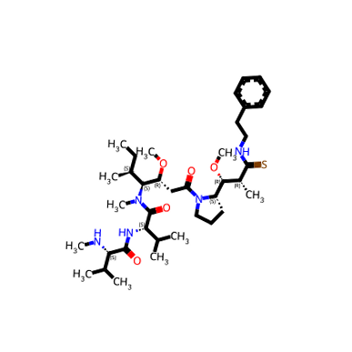 CC[C@H](C)[C@@H]([C@@H](CC(=O)N1CCC[C@H]1[C@H](OC)[C@@H](C)C(=S)NCCc1ccccc1)OC)N(C)C(=O)[C@@H](NC(=O)[C@@H](NC)C(C)C)C(C)C